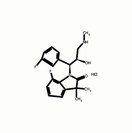 CNC[C@@H](O)[C@H](c1cccc(F)c1)N1C(=O)C(C)(C)c2cccc(F)c21.Cl